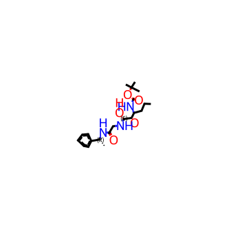 CCCC(NC(=O)OC(C)(C)C)C(=O)[C@H](O)NCC(=O)N[C@H](C)c1ccccc1